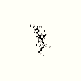 CCCCC[Si](C)(C)CNc1nc(F)nc2c1ncn2[C@@H]1O[C@H](CO)[C@@H](O)[C@H]1O